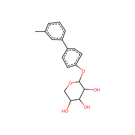 Cc1cccc(-c2ccc(OC3OCC(O)C(O)C3O)cc2)c1